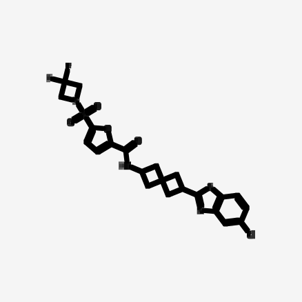 O=C(NC1CC2(C1)CC(c1nc3cc(Cl)ccc3s1)C2)c1ccc(S(=O)(=O)N2CC(F)(F)C2)o1